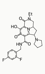 CCN1CC2CC(N3CCCC3)c3c(C(=O)NCc4ccc(F)cc4F)c(=O)c(O)c(n32)C1=O